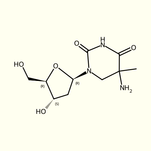 CC1(N)CN([C@H]2C[C@H](O)[C@@H](CO)O2)C(=O)NC1=O